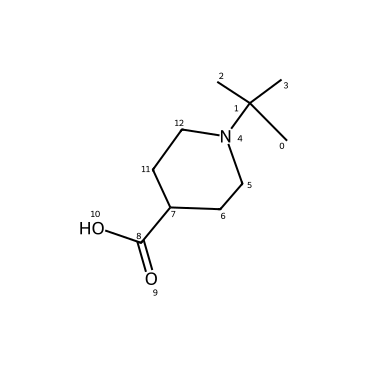 CC(C)(C)N1CCC(C(=O)O)CC1